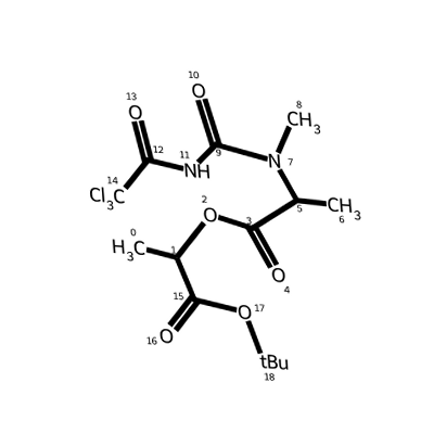 CC(OC(=O)C(C)N(C)C(=O)NC(=O)C(Cl)(Cl)Cl)C(=O)OC(C)(C)C